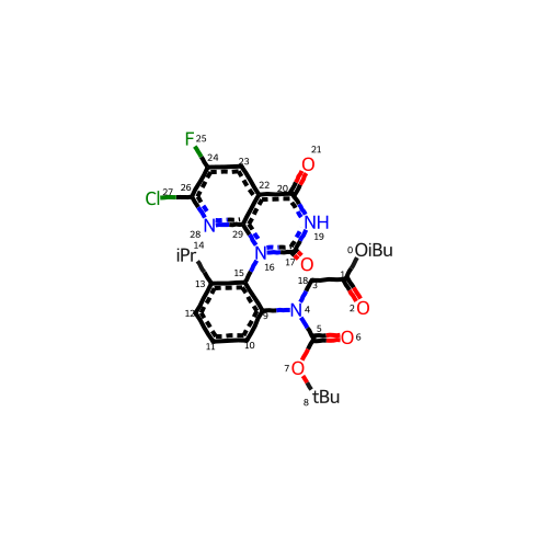 CC(C)COC(=O)CN(C(=O)OC(C)(C)C)c1cccc(C(C)C)c1-n1c(=O)[nH]c(=O)c2cc(F)c(Cl)nc21